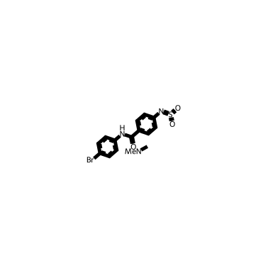 CNC.O=C(Nc1ccc(Br)cc1)c1ccc(N=S(=O)=O)cc1